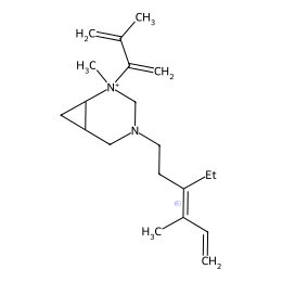 C=C/C(C)=C(\CC)CCN1CC2CC2[N+](C)(C(=C)C(=C)C)C1